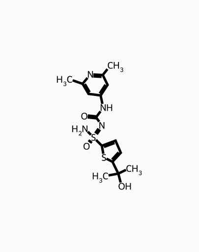 Cc1cc(NC(=O)N=S(N)(=O)c2ccc(C(C)(C)O)s2)cc(C)n1